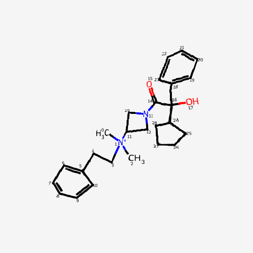 C[N+](C)(CCc1ccccc1)C1CN(C(=O)C(O)(c2ccccc2)C2CCCC2)C1